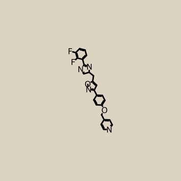 Fc1cccc(C2=NC(Cc3cc(-c4ccc(OCc5ccncc5)cc4)no3)C=N2)c1F